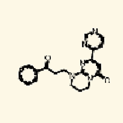 O=C(CCN1CCCn2c1nc(-c1ccncn1)cc2=O)c1ccccc1